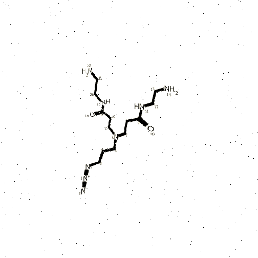 [N-]=[N+]=NCCCN(CCC(=O)NCCN)CCC(=O)NCCN